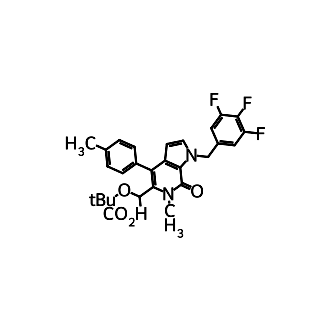 Cc1ccc(-c2c(C(OC(C)(C)C)C(=O)O)n(C)c(=O)c3c2ccn3Cc2cc(F)c(F)c(F)c2)cc1